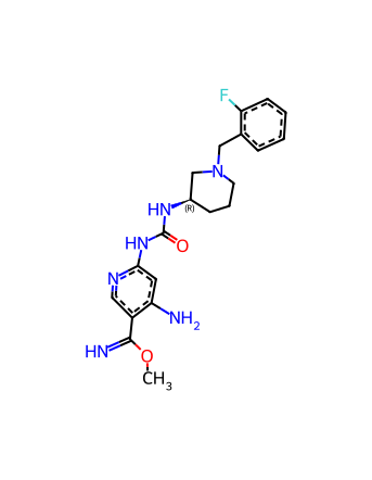 COC(=N)c1cnc(NC(=O)N[C@@H]2CCCN(Cc3ccccc3F)C2)cc1N